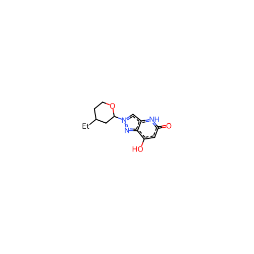 CCC1CCOC(n2cc3[nH]c(=O)cc(O)c3n2)C1